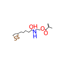 C=C(C)C(=O)OCCNC(O)CCCCC1CCSS1